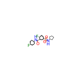 O=C(Nc1ccc(F)cc1)c1cc(S(=O)(=O)NC2CCCC2)ccc1F